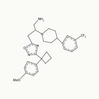 COc1ccc(C2(c3noc(CC(CN)N4CCC(c5cccc(C(F)(F)F)c5)CC4)n3)CCC2)cc1